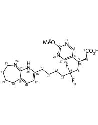 COc1ncc([C@@H](CC(=O)O)CC(F)(F)CCCCC2=CC=C3CCCCN=C3N2)cn1